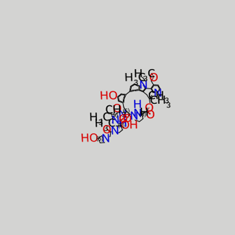 CCn1c(-c2cnccc2COC)c2c3cc(ccc31)-c1cc(O)cc(c1)C[C@H](NC(=O)[C@H](C(C)C)N(C)C(=O)[C@@]1(O)CCN(C(=O)CN3CC[C@H](O)C3)C1)C(=O)N1CCC[C@H](N1)C(=O)OCC(C)(C)C2